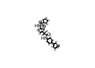 CC(C)(C(=O)Nc1ccc(-c2cccnc2)cc1)c1csc(NS(=O)(=O)C2CCCC2)n1